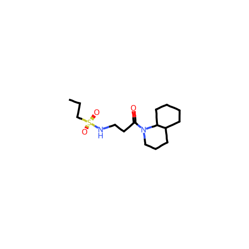 CCCS(=O)(=O)NCCC(=O)N1CCCC2CCCCC21